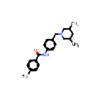 Cc1ccc(C(=O)Nc2ccc(CN3CC(C)CC(C)C3)cc2)cc1